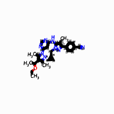 CCOC(C)c1c(C)nn(-c2cc(Nc3c(C)c(-c4ccc(C#N)cc4)nn3CC3CC3)ncn2)c1C